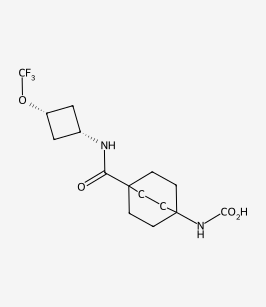 O=C(O)NC12CCC(C(=O)N[C@H]3C[C@@H](OC(F)(F)F)C3)(CC1)CC2